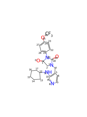 O=C1CN(Cc2ccncc2NC2CCCCC2)C(=O)N1c1ccc(OC(F)(F)F)cc1